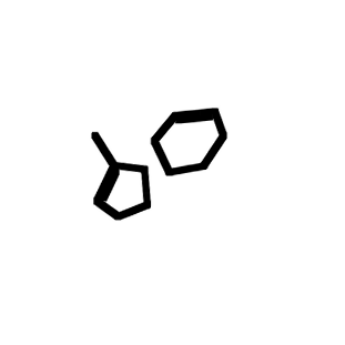 C1=CCCCC1.CC1=CCCC1